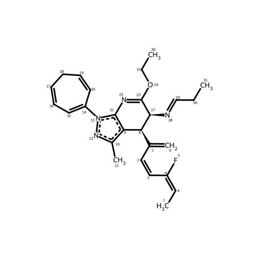 C=C(/C=C\C(F)=C/C)[C@H]1c2c(C)nn(C3=CC=CCC=C3)c2N=C(OCC)[C@H]1N=CCC